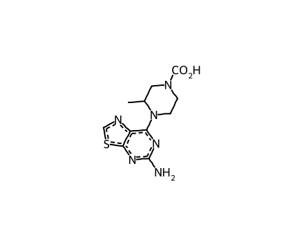 CC1CN(C(=O)O)CCN1c1nc(N)nc2scnc12